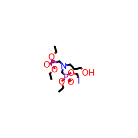 CCOP(=O)(CN(CCCO)CP(=O)(OCC)OCI)OCC